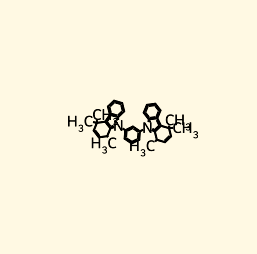 CC1C=CC(C)(C)c2c1n(-c1cccc(-n3c4c(c5ccccc53)C(C)(C)C=CC4C)c1)c1ccccc21